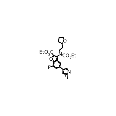 CCOC(=O)c1oc2c(F)cc(-c3cnn(C)c3)cc2c1N(CCC1CCCO1)C(=O)OCC